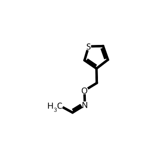 C/C=N\OCc1ccsc1